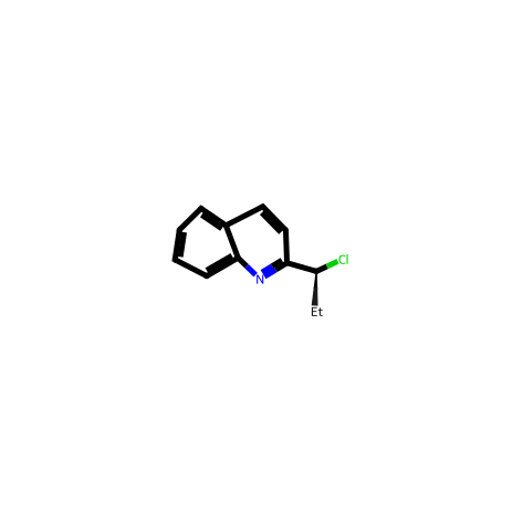 CC[C@H](Cl)c1ccc2ccccc2n1